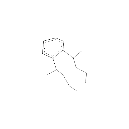 CCCC(C)c1ccccc1C(C)CCC